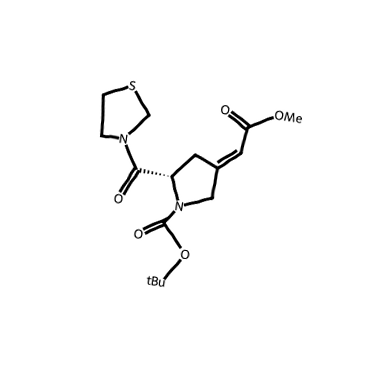 COC(=O)/C=C1\C[C@@H](C(=O)N2CCSC2)N(C(=O)OC(C)(C)C)C1